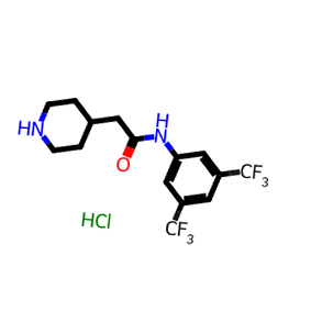 Cl.O=C(CC1CCNCC1)Nc1cc(C(F)(F)F)cc(C(F)(F)F)c1